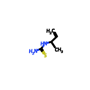 C=CC(C)NC(N)=S